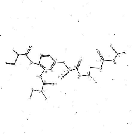 CCC(C)C(=O)Oc1ccc(C[C@H](N)C(=O)O[C@@H](C)COC(=O)OC(C)C)cc1OC(=O)C(C)CC